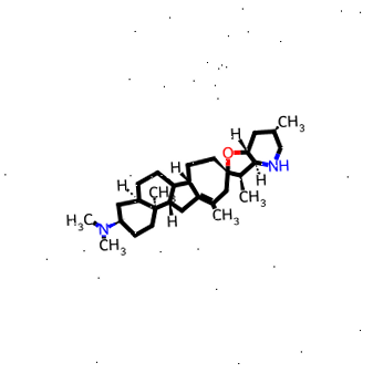 CC1=C2C[C@H]3C(CC[C@@H]4C[C@H](N(C)C)CC[C@@]43C)[C@@H]2CC[C@@]2(C1)O[C@@H]1C[C@H](C)CN[C@H]1[C@H]2C